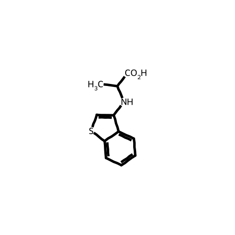 CC(Nc1csc2ccccc12)C(=O)O